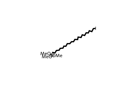 CO[Si](CCCCCCCCCCCCCCCCCCCCCCCI)(OC)OC